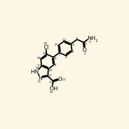 NC(=O)Cc1ccc(-c2cc3c(C(=O)O)n[nH]c3cc2Cl)cc1